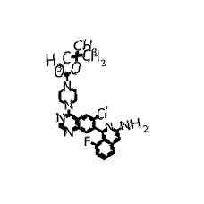 CC(C)(C)OC(=O)N1CCN(c2ncnc3cc(-c4nc(N)cc5cccc(F)c45)c(Cl)cc23)CC1